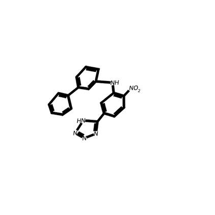 O=[N+]([O-])c1ccc(-c2nnn[nH]2)cc1Nc1cccc(-c2ccccc2)c1